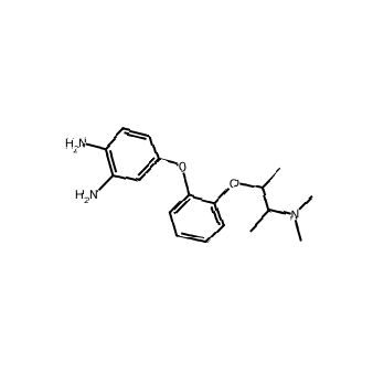 CC(Oc1ccccc1Oc1ccc(N)c(N)c1)C(C)N(C)C